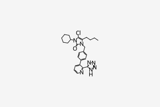 CCCCc1c(Cl)n(C2CCCCC2)c(=O)n1Cc1ccc(-c2cccnc2-c2nnn[nH]2)cc1